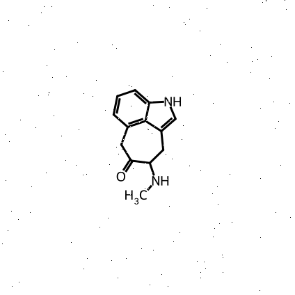 CNC1Cc2c[nH]c3cccc(c23)CC1=O